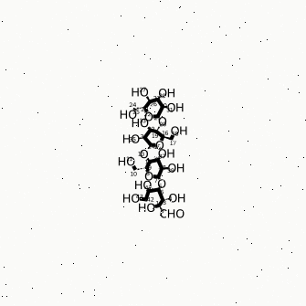 O=C[C@H](O)[C@@H](O)[C@H](O[C@H]1O[C@H](CO)[C@@H](O[C@H]2O[C@H](CO)[C@@H](O[C@H]3O[C@H](CO)[C@@H](O)[C@H](O)[C@H]3O)[C@H](O)[C@H]2O)[C@H](O)[C@H]1O)[C@H](O)CO